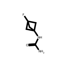 NC(=O)NC12CC(F)(C1)C2